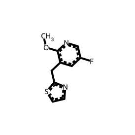 COc1ncc(F)cc1Cc1nccs1